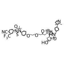 Cc1ncsc1-c1ccc(CNC(=O)[C@@H]2C[C@@H](O)CC2C(=O)C(CC(=O)CCOCCCOc2ccc(N3C(=S)N(c4ccc(C#N)c(C(F)(F)F)c4)C(=O)C3(C)C)cc2)C(C)(C)C)cc1